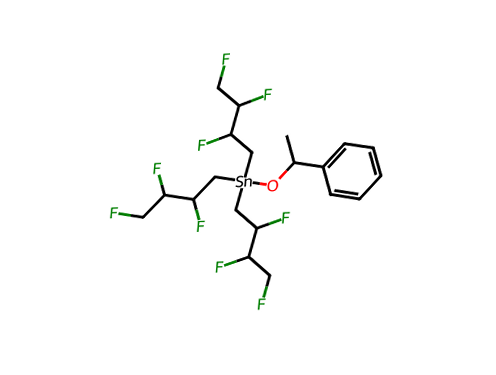 CC([O][Sn]([CH2]C(F)C(F)CF)([CH2]C(F)C(F)CF)[CH2]C(F)C(F)CF)c1ccccc1